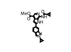 COC(=O)c1cnc(NC(=O)C2CC2)c2[nH]c(-c3ccc4cn(C5CC5)nc4c3)cc12